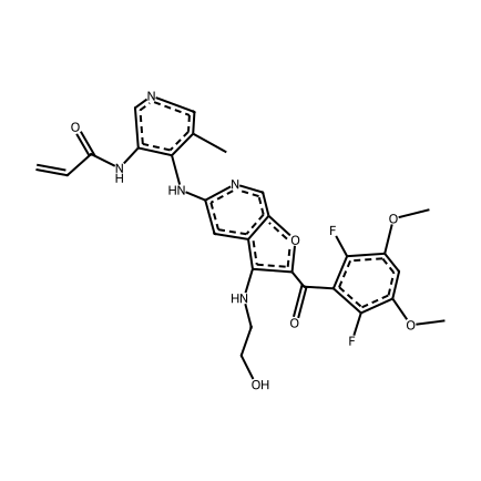 C=CC(=O)Nc1cncc(C)c1Nc1cc2c(NCCO)c(C(=O)c3c(F)c(OC)cc(OC)c3F)oc2cn1